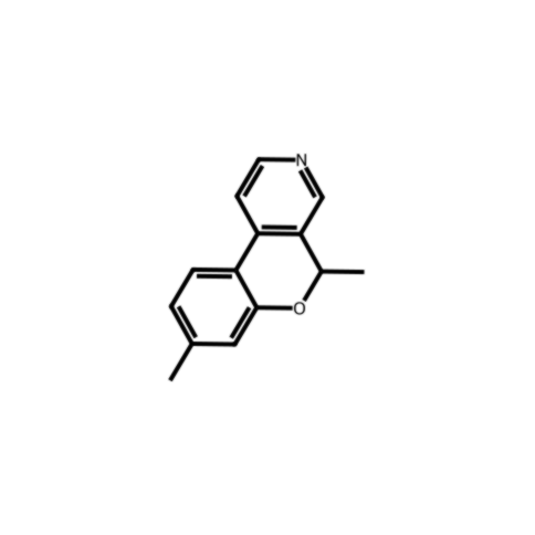 Cc1ccc2c(c1)OC(C)c1cnccc1-2